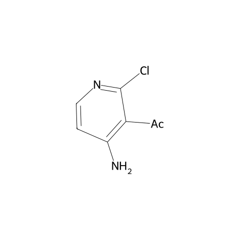 CC(=O)c1c(N)ccnc1Cl